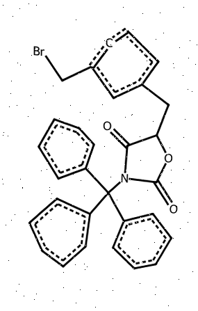 O=C1OC(Cc2cccc(CBr)c2)C(=O)N1C(c1ccccc1)(c1ccccc1)c1ccccc1